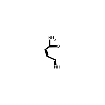 N=C/C=C\C(N)=O